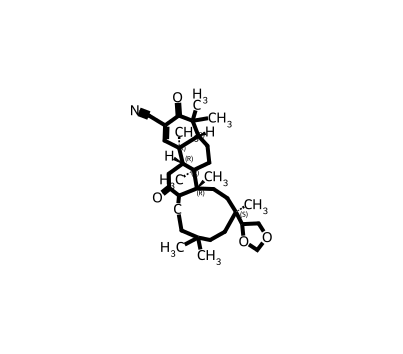 CC1(C)CCC2C(=O)C[C@@H]3[C@@]4(C)C=C(C#N)C(=O)C(C)(C)[C@@H]4CC[C@@]3(C)[C@]2(C)CC[C@@](C)(C2COCO2)CC1